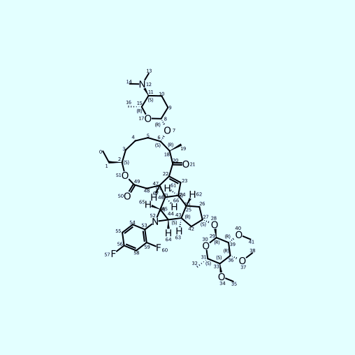 CC[C@H]1CCC[C@H](O[C@H]2CC[C@H](N(C)C)[C@@H](C)O2)[C@@H](C)C(=O)C2=C[C@H]3[C@@H]4C[C@H](O[C@@H]5O[C@@H](C)[C@H](OC)[C@@H](OC)[C@H]5OC)C[C@H]4[C@H]4[C@@H]([C@H]3[C@@H]2CC(=O)O1)N4c1ccc(F)cc1F